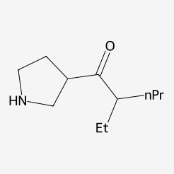 CCCC(CC)C(=O)C1CCNC1